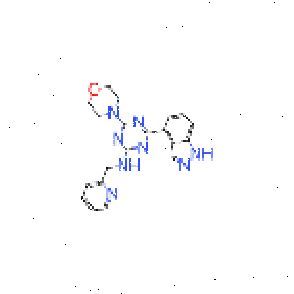 c1ccc(CNc2nc(-c3cccc4[nH]ncc34)nc(N3CCOCC3)n2)nc1